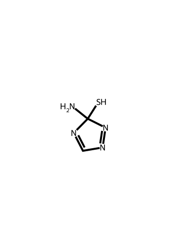 NC1(S)N=CN=N1